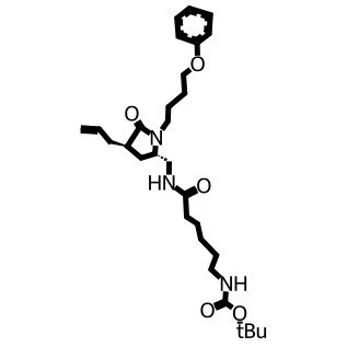 C=CC[C@@H]1C[C@@H](CNC(=O)CCCCCNC(=O)OC(C)(C)C)N(CCCCOc2ccccc2)C1=O